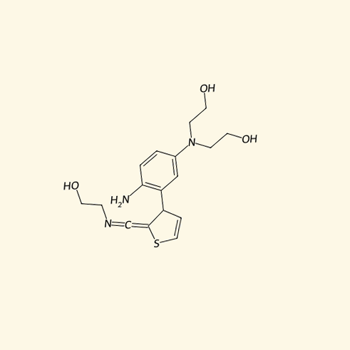 Nc1ccc(N(CCO)CCO)cc1C1C=CSC1=C=NCCO